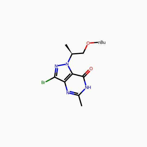 CCCCOC[C@H](C)n1nc(Br)c2nc(C)[nH]c(=O)c21